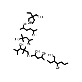 CC(C)C(O)C(C)(C)CO.CC(O)CC(C)(C)O.CC(O)CC(C)O.CC(O)CCC(C)O.CCC(CC)(CO)CO.CCCC(O)C(CC)CO